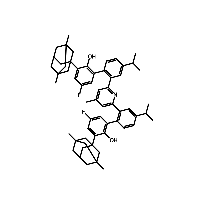 Cc1cc(-c2cc(C(C)C)ccc2-c2cc(F)cc(C34CC5CC(C)(CC(C)(C5)C3)C4)c2O)nc(-c2cc(C(C)C)ccc2-c2cc(F)cc(C34CC5CC(C)(CC(C)(C5)C3)C4)c2O)c1